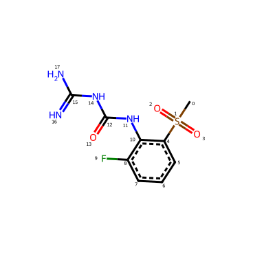 CS(=O)(=O)c1cccc(F)c1NC(=O)NC(=N)N